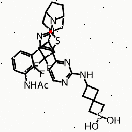 CC(=O)Nc1cccc(-c2nc(N3C4CCC3CN(C3CC(F)(F)C3)C4)sc2-c2ccnc(NC3CC4(C3)CS(O)(O)C4)n2)c1F